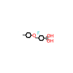 Cc1ccc(OCc2ccc(B(O)O)cc2F)cc1